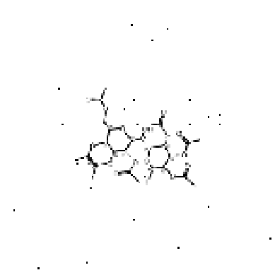 CC(=O)OC[C@H]1O[C@@H](C(O)[C@H]2O[C@H](F)[C@H](OC(C)=O)[C@@H](OC(C)=O)[C@H]2OC(C)=O)[C@H](OC(C)=O)[C@@H](OC(C)=O)[C@H]1OC(C)=O